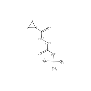 CC(C)(C)NC(=O)NNC(=O)C1CC1